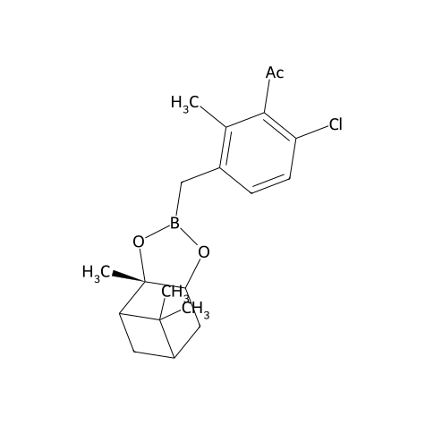 CC(=O)c1c(Cl)ccc(CB2OC3CC4CC(C4(C)C)[C@]3(C)O2)c1C